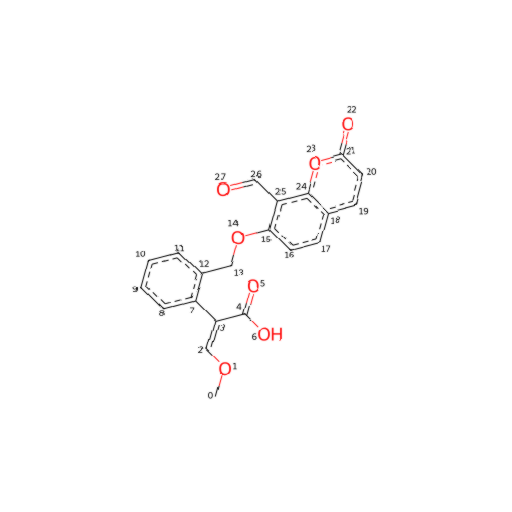 COC=C(C(=O)O)c1ccccc1COc1ccc2ccc(=O)oc2c1C=O